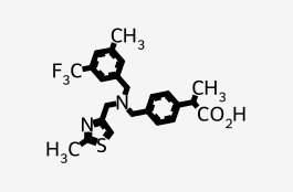 Cc1cc(CN(Cc2ccc(C(C)C(=O)O)cc2)Cc2csc(C)n2)cc(C(F)(F)F)c1